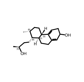 C[C@H](O)CC[C@H]1[C@@H]2CCC3=CC(O)CC=C3[C@H]2CC[C@H]1C